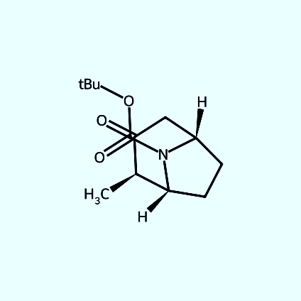 C[C@H]1C(=O)C[C@@H]2CC[C@H]1N2C(=O)OC(C)(C)C